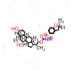 CC[C@H]1[C@@H](O)[C@@H]2[C@H](CC[C@]3(C)[C@@H]([C@H](C)COC(=O)NS(=O)(=O)c4ccc5c(c4)CC(C)(CC)O5)CC[C@@H]23)[C@@]2(C)CC[C@@H](O)C[C@@H]12